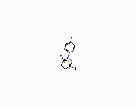 Cc1ccc(N2C[C@@H]3CC[C@H]2C3)cc1